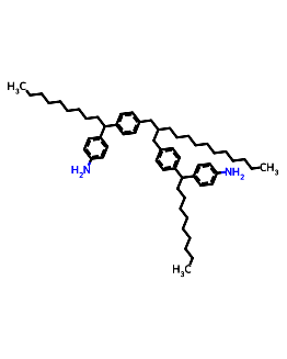 CCCCCCCCCCCC(Cc1ccc(C(CCCCCCCCC)c2ccc(N)cc2)cc1)Cc1ccc(C(CCCCCCCCC)c2ccc(N)cc2)cc1